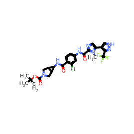 Cn1c(-c2c[nH]nc2C(F)(F)F)cnc1C(=O)Nc1ccc(C(=O)NC2C3CN(C(=O)OC(C)(C)C)CC32)c(Cl)c1